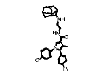 Cc1c(C(=O)NCCNC2C3CC4CC(C3)CC2C4)cn(-c2ccc(Cl)cc2)c1-c1ccc(Cl)cc1